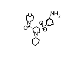 NCc1cccc(S(=O)(=O)[C@H]2C[C@@H](C(=O)N3CCOCC3)CN(C3CCCCC3)C2)c1